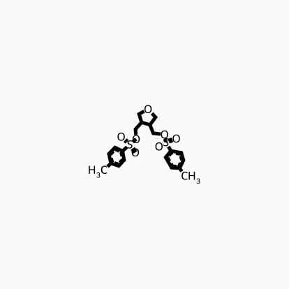 Cc1ccc(S(=O)(=O)OCC2COCC2COS(=O)(=O)c2ccc(C)cc2)cc1